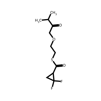 CC(C)C(=O)COCCSC(=O)C1CC1(F)F